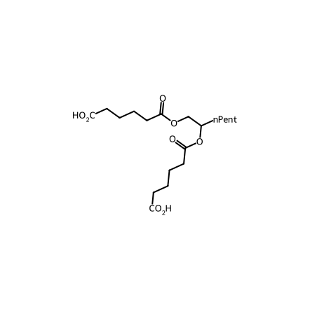 CCCCCC(COC(=O)CCCCC(=O)O)OC(=O)CCCCC(=O)O